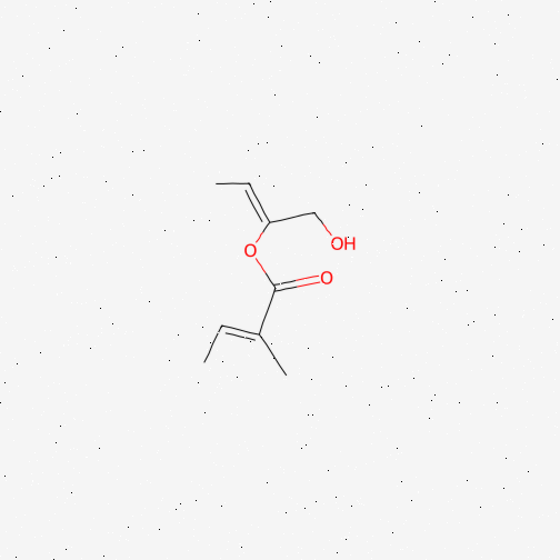 CC=C(CO)OC(=O)C(C)=CC